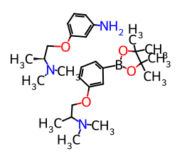 CC(COc1cccc(B2OC(C)(C)C(C)(C)O2)c1)N(C)C.C[C@@H](COc1cccc(N)c1)N(C)C